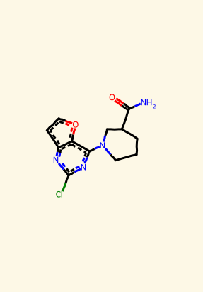 NC(=O)C1CCCN(c2nc(Cl)nc3ccoc23)C1